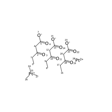 CCC(=O)CC(=O)[O-].CCC(=O)CC(=O)[O-].CCC(=O)CC(=O)[O-].[CH3][Pt+]([CH3])[CH3].[Pt+2]